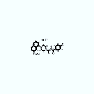 COc1ccc2cccc(N3CCN(C(C)NC(=O)c4ccc(F)cc4)CC3)c2c1.Cl